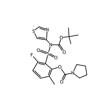 Cc1ccc(F)c(S(=O)(=O)N(C(=O)OC(C)(C)C)c2cscn2)c1OC(=O)N1CCCC1